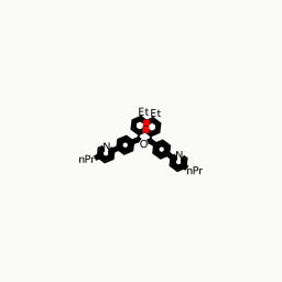 CCCc1ccc(-c2ccc(C(OC(c3ccc(-c4ccc(CCC)cn4)cc3)[C@H]3CC[C@H](CC)CC3)[C@H]3CC[C@H](CC)CC3)cc2)nc1